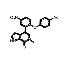 CC(=O)c1ccc(Oc2ccc([N+](=O)[O-])cc2-c2cn(C)c(=O)c3[nH]ccc23)cc1